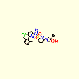 Cc1cccc(C)c1-c1nc(NS(=O)(=O)c2cccc(N3CC(O)(C4CC4)C3)n2)ccc1Cl